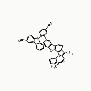 C=C/C=C\c1c(C)c2ccc3c4cc(-c5cc(C#N)ccc5-n5c6ccccc6c6cc(C#N)ccc65)ccc4oc3c2n1-c1ccccc1